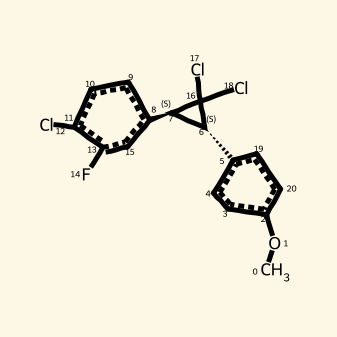 COc1ccc([C@@H]2[C@@H](c3ccc(Cl)c(F)c3)C2(Cl)Cl)cc1